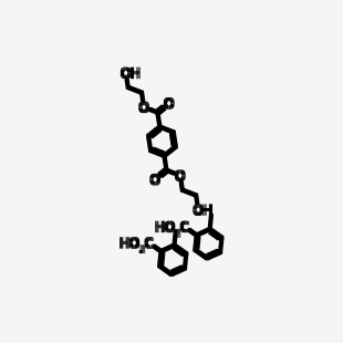 Cc1ccccc1C(=O)O.Cc1ccccc1C(=O)O.O=C(OCCO)c1ccc(C(=O)OCCO)cc1